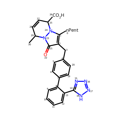 CCCCCc1c(Cc2ccc(-c3ccccc3-c3nnn[nH]3)cc2)c(=O)n2n1C(C(=O)O)C=CC2C